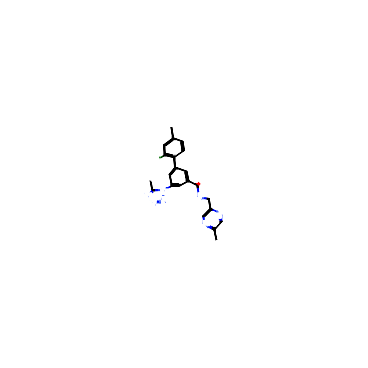 CCc1nnnn1-c1cc(C(=O)NCc2cnc(C)cn2)cc(-c2ccc(C)cc2Cl)c1